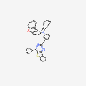 c1ccc(-c2nc(-c3cccc(-n4c5ccccc5c5c6c(ccc54)oc4ccccc46)c3)nc3c2sc2ccccc23)cc1